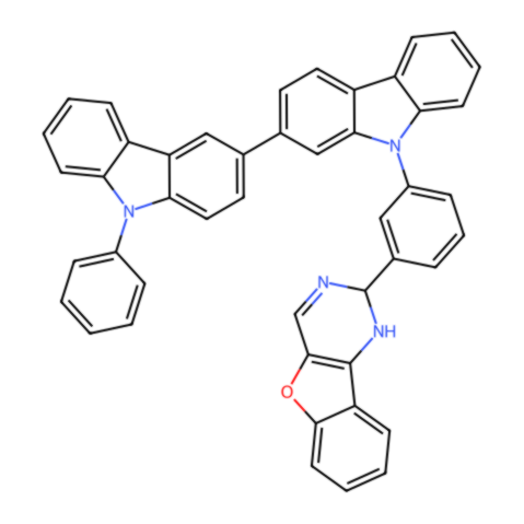 C1=NC(c2cccc(-n3c4ccccc4c4ccc(-c5ccc6c(c5)c5ccccc5n6-c5ccccc5)cc43)c2)Nc2c1oc1ccccc21